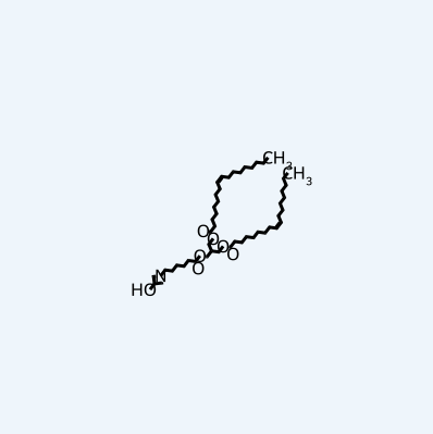 CCCCCCCC/C=C\CCCCCCCC(=O)OCC(COC(=O)CCCCCCC/C=C\CCCCCCCC)COC(=O)CCCCCN1CC(O)C1